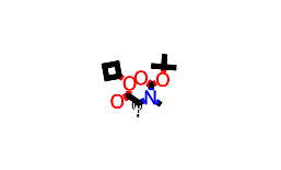 C[C@H](C(=O)OC1CCC1)N(C)C(=O)OC(C)(C)C